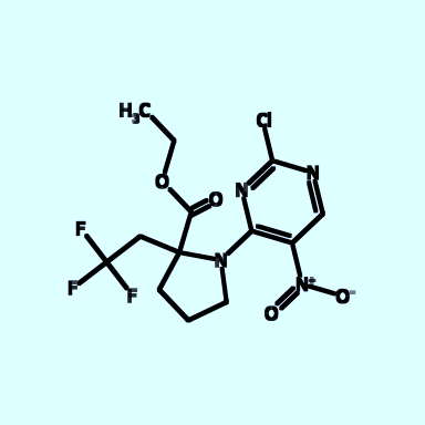 CCOC(=O)C1(CC(F)(F)F)CCCN1c1nc(Cl)ncc1[N+](=O)[O-]